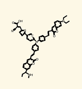 CCC(NC)c1ccc2cc(/C=C/c3ccc(N(c4ccc(/C=C/c5cc6ccc(N(CC)CC)cc6oc5=O)cc4)c4ccc(-c5ccc(/C=C(\C#N)C(=O)O)s5)cc4)cc3)c(=O)oc2c1